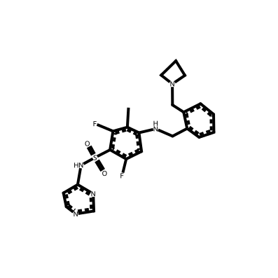 Cc1c(NCc2ccccc2CN2CCC2)cc(F)c(S(=O)(=O)Nc2ccncn2)c1F